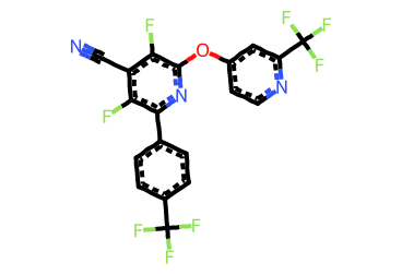 N#Cc1c(F)c(Oc2ccnc(C(F)(F)F)c2)nc(-c2ccc(C(F)(F)F)cc2)c1F